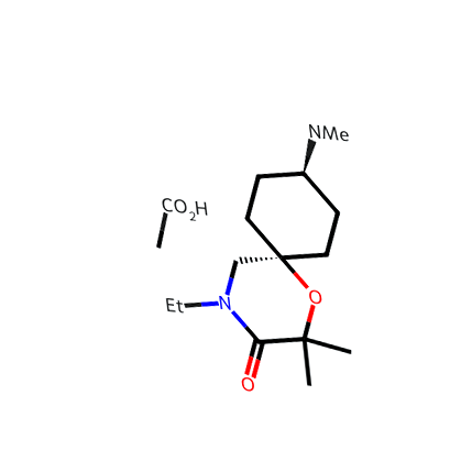 CC(=O)O.CCN1C[C@]2(CC[C@H](NC)CC2)OC(C)(C)C1=O